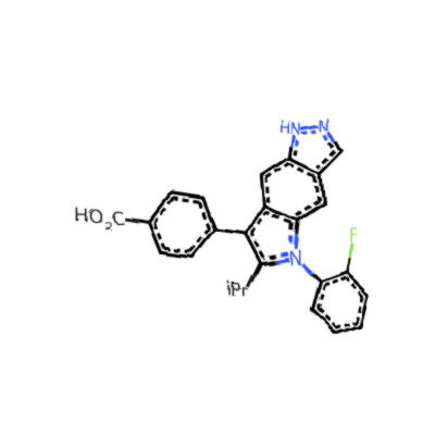 CC(C)c1c(-c2ccc(C(=O)O)cc2)c2cc3[nH]ncc3cc2n1-c1ccccc1F